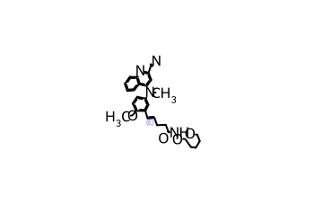 COc1ccc(N(C)c2cc(C#N)nc3ccccc23)cc1/C=C/CCC(=O)NOC1CCCCO1